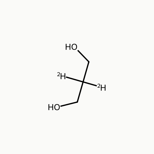 [2H]C([2H])(CO)CO